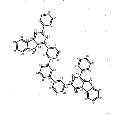 c1ccc(-c2nc(-c3cccc(-c4cccc(-c5cccc(-c6nc(-c7ccccc7)c7oc8ccccc8c7n6)c5)c4)c3)c3oc4ccccc4c3n2)cc1